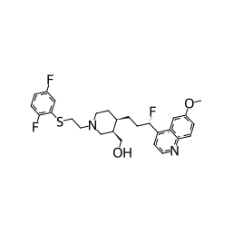 COc1ccc2nccc([C@@H](F)CC[C@@H]3CCN(CCSc4cc(F)ccc4F)C[C@@H]3CO)c2c1